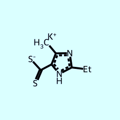 CCc1nc(C)c(C(=S)[S-])[nH]1.[K+]